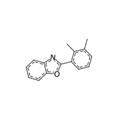 Cc1cccc(-c2nc3ccccc3o2)c1C